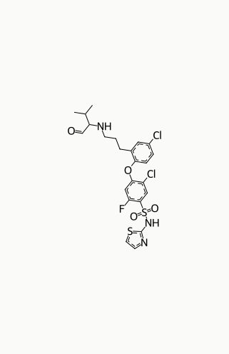 CC(C)C(C=O)NCCCc1cc(Cl)ccc1Oc1cc(F)c(S(=O)(=O)Nc2nccs2)cc1Cl